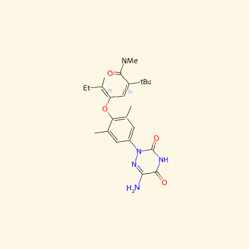 CC/C(C)=C(/C=C(\C(=O)NC)C(C)(C)C)Oc1c(C)cc(-n2nc(N)c(=O)[nH]c2=O)cc1C